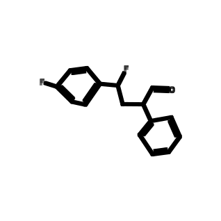 O=CC(CC(F)c1ccc(F)cc1)c1ccccc1